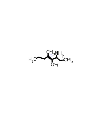 CCC/C(C)=C(\O)C(N)CC